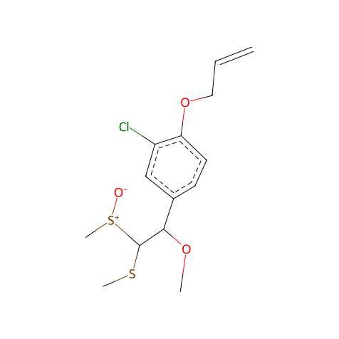 C=CCOc1ccc(C(OC)C(SC)[S+](C)[O-])cc1Cl